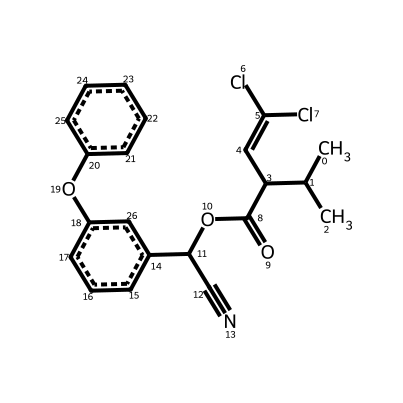 CC(C)C(C=C(Cl)Cl)C(=O)OC(C#N)c1cccc(Oc2ccccc2)c1